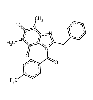 Cn1c(=O)c2c(nc(Cc3ccccc3)n2C(=O)c2ccc(C(F)(F)F)cc2)n(C)c1=O